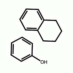 Oc1ccccc1.c1ccc2c(c1)CCCC2